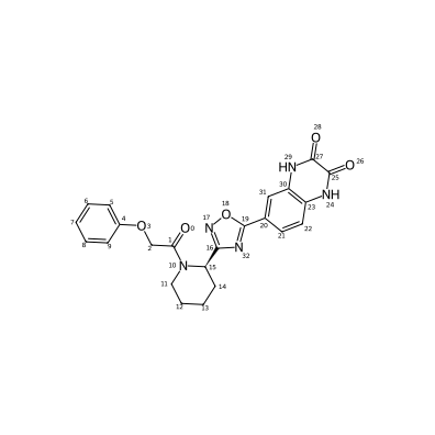 O=C(COc1ccccc1)N1CCCC[C@@H]1c1noc(-c2ccc3[nH]c(=O)c(=O)[nH]c3c2)n1